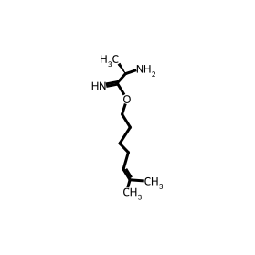 CC(C)=CCCCCOC(=N)[C@@H](C)N